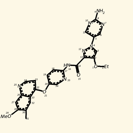 CCOc1cn(-c2cnc(N)nc2)nc1C(=O)Nc1ccc(Oc2ccnc3cc(OC)c(C)cc23)cn1